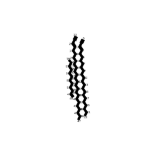 C#CC=CCCCCCCCCCCCCCCCCCCC.C#CC=CCCCCCCCCCCCCCCCCCCCCC.C=CCCCCCCCCCC